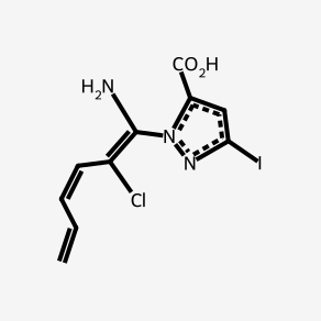 C=C/C=C\C(Cl)=C(/N)n1nc(I)cc1C(=O)O